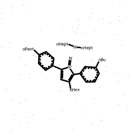 CCCCCCC1=C(c2cccc(CCCC)c2)[N+](=[N-])C(c2ccc(CCCCC)cc2)=C1.CCCCCC[CH2][Ni][CH2]CCCCCC